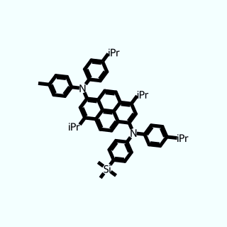 Cc1ccc(N(c2ccc(C(C)C)cc2)c2cc(C(C)C)c3ccc4c(N(c5ccc(C(C)C)cc5)c5ccc([Si](C)(C)C)cc5)cc(C(C)C)c5ccc2c3c54)cc1